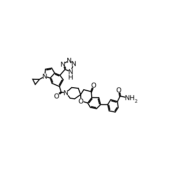 NC(=O)c1cccc(-c2ccc3c(c2)C(=O)CC2(CCN(C(=O)c4cc(-c5nnn[nH]5)c5ccn(C6CC6)c5c4)CC2)O3)c1